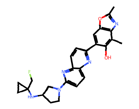 Cc1nc2c(C)c(O)c(-c3ccc4nc(N5CCC(NC6(CF)CC6)C5)ccc4n3)cc2o1